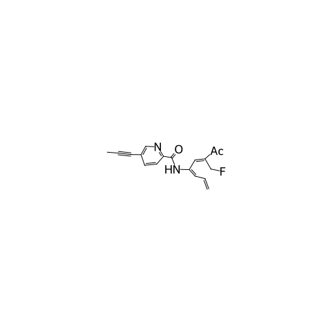 C=C/C=C(\C=C(/CF)C(C)=O)NC(=O)c1ccc(C#CC)cn1